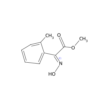 COC(=O)/C(=N/O)c1ccccc1C